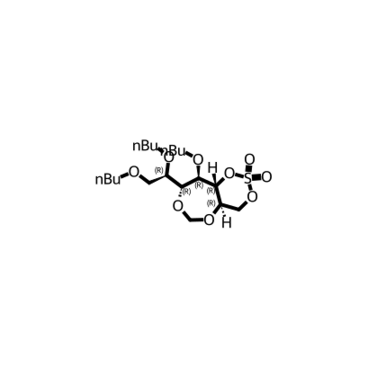 CCCCOC[C@@H](OCCCC)[C@H]1OCO[C@@H]2COS(=O)(=O)O[C@H]2[C@@H]1OCCCC